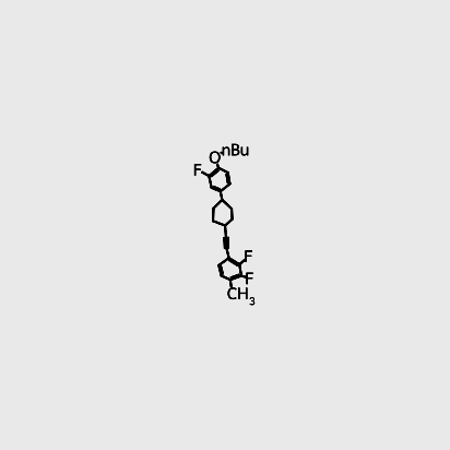 CCCCOc1ccc(C2CCC(C#Cc3ccc(C)c(F)c3F)CC2)cc1F